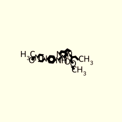 CCCC(C(=O)OCC)n1ccc2cnc(Nc3ccc(N4CCN(C(C)=O)CC4)cc3)nc21